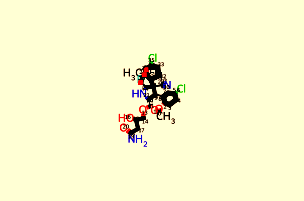 COc1ccc(Cl)cc1[C@H]1[C@H](C(=O)OC[C@@H](O)CC(N)=O)N[C@@H](CC(C)(C)C)[C@]1(C#N)c1ccc(Cl)cc1F